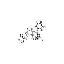 COC(=O)Cc1cccc(C(=O)c2ccccc2)c1CN